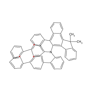 CC1(C)c2ccccc2-c2c(N(c3ccc(-c4ccccc4)cc3)c3ccccc3-c3ccc(-c4ccccc4)cc3)c(-c3ccccc3)c3ccccc3c21